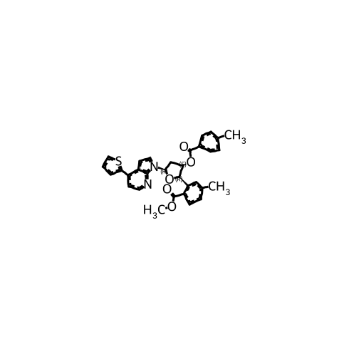 COC(=O)c1ccc(C)cc1[C@H]1O[C@@H](n2ccc3c(-c4cccs4)ccnc32)C[C@@H]1OC(=O)c1ccc(C)cc1